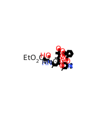 CCOC(=O)/C=C/[C@H](CO)NC[C@H](C)C[C@@](C)(OC)[C@H](O[C@@H]1O[C@H](C)C[C@H](N(C)C)[C@H]1OC(=O)c1ccccc1)[C@@H](C)C1=C(C)C(=O)OC(C)(C)O1